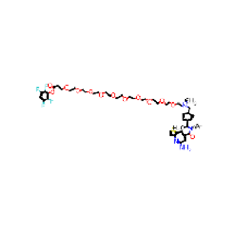 CCCN(C(=O)C1=Cc2sccc2N=C(N)C1)C(C)c1ccc(CN(C)CCOCCOCCOCCOCCOCCOCCOCCOCCOCCOCCC(=O)Oc2c(F)c(F)cc(F)c2F)cc1